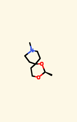 C[C@H]1OCCC2(CCN(C)CC2)O1